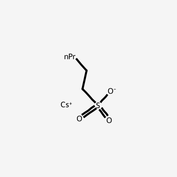 CCCCCS(=O)(=O)[O-].[Cs+]